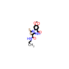 C=CCNC(=O)c1sc(=S)n2c1[nH]c(=O)c1cc3c(cc12)OCO3